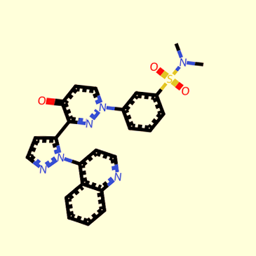 CN(C)S(=O)(=O)c1cccc(-n2ccc(=O)c(-c3ccnn3-c3ccnc4ccccc34)n2)c1